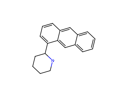 c1ccc2cc3c(C4CCCC[N]4)cccc3cc2c1